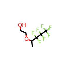 CC(OCCO)C(F)(F)C(F)(F)C(F)(F)F